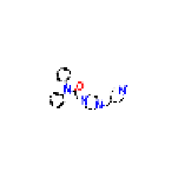 CN1CCC(CN2CCN(CC(=O)N(c3ccccc3)c3ccccc3)CC2)CC1